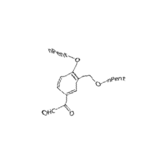 CCCCCOCc1cc(C(=O)C=O)ccc1OCCCCC